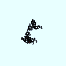 CN(C(=O)OC(C)(C)C)C1CN(Cc2ccc(B3OC(C)(C)C(C)(C)O3)cc2)C1